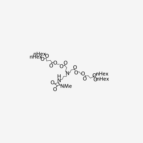 CCCCCCOC(CCC(=O)OCCOC(=O)CCN(CCCNc1c(NC)c(=O)c1=O)CCC(=O)OCCOC(=O)CCC(OCCCCCC)OCCCCCC)OCCCCCC